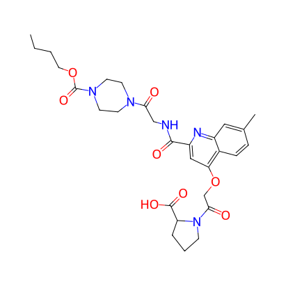 CCCCOC(=O)N1CCN(C(=O)CNC(=O)c2cc(OCC(=O)N3CCCC3C(=O)O)c3ccc(C)cc3n2)CC1